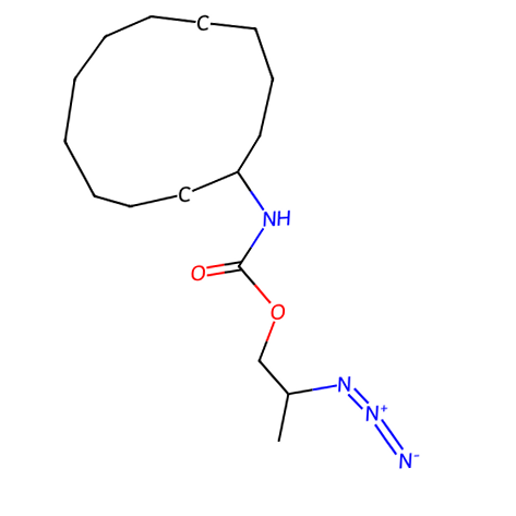 CC(COC(=O)NC1CCCCCCCCCCC1)N=[N+]=[N-]